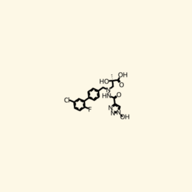 C[C@@](O)(CN(Cc1ccc(-c2cc(Cl)ccc2F)cc1)NC(=O)c1cn(O)nn1)C(=O)O